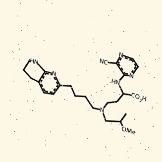 COC(C)CN(CCCCc1ccc2c(n1)NCCC2)CCC(Nc1nccnc1C#N)C(=O)O